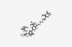 C[C@](N)(CO[PH](=O)O)c1nnc(-c2ccc(OCCCCOc3cccc(F)c3F)c(C(F)(F)F)c2)s1